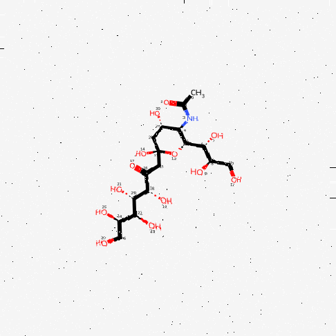 CC(=O)N[C@H]1[C@H]([C@H](O)[C@H](O)CO)O[C@](O)(CC(=O)[C@H](O)[C@@H](O)[C@@H](O)[C@H](O)CO)C[C@@H]1O